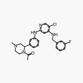 CC(=O)N1CCN(C)CC1c1cccc(Nc2cc(NCc3cccc(F)c3)c(Cl)cn2)c1